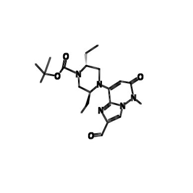 CC[C@@H]1CN(c2cc(=O)n(C)n3cc(C=O)nc23)[C@@H](CC)CN1C(=O)OC(C)(C)C